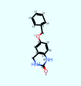 O=C1NCc2cc(OCc3ccccc3)ccc2N1